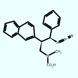 CN(C[C@@H](c1ccc2ccccc2c1)[C@H](N=[N+]=[N-])c1ccccc1)C(=O)O